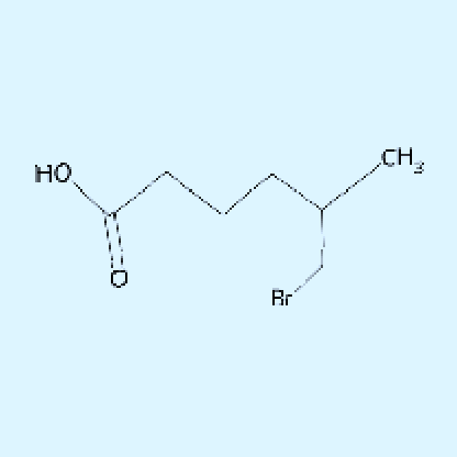 CC(CBr)CCCC(=O)O